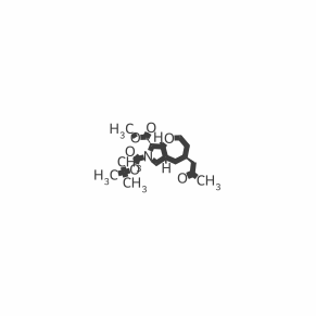 COC(=O)[C@@H]1[C@@H]2OCC[C@@H](CC(C)=O)C[C@H]2CN1C(=O)OC(C)(C)C